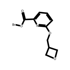 O=C(OBr)c1cccc(OCC2COC2)n1